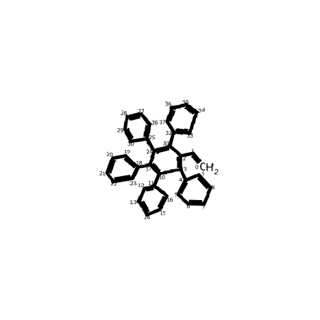 C=Cc1c(-c2ccccc2)c(-c2ccccc2)c(-c2ccccc2)c(-c2ccccc2)c1-c1ccccc1